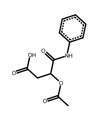 CC(=O)OC(CC(=O)O)C(=O)Nc1ccccc1